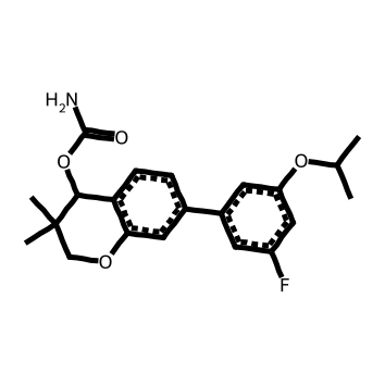 CC(C)Oc1cc(F)cc(-c2ccc3c(c2)OCC(C)(C)C3OC(N)=O)c1